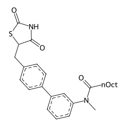 CCCCCCCCC(=O)N(C)c1cccc(-c2ccc(CC3SC(=O)NC3=O)cc2)c1